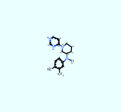 CCN(c1ccc(C#N)c(C(F)(F)F)c1)[C@@H]1CCCN(c2ccncn2)C1